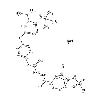 CC(C)C(NC(=O)Oc1ccc(CC(=O)NNC(=O)C2CCC3CN2C(=O)N3OS(=O)(=O)O)cc1)C(=O)OC(C)(C)C.[NaH]